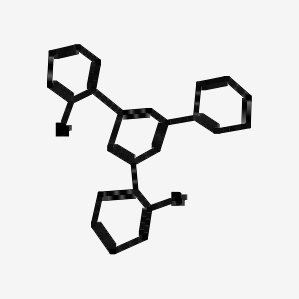 Brc1ccccc1-c1cc(-c2ccccc2)cc(-c2ccccc2Br)c1